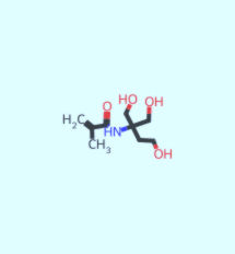 C=C(C)C(=O)NC(CO)(CO)CCO